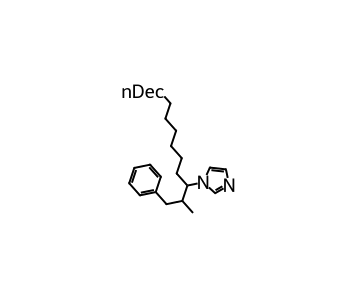 CCCCCCCCCCCCCCCCC(C(C)Cc1ccccc1)n1ccnc1